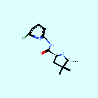 C[C@H]1N[C@H](C(=O)Nc2cccc(Cl)n2)CC1(C)C